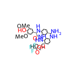 COc1cc(C(Nc2ccc(C(=N)N)cc2)C(=O)NNc2ccccc2C(=O)O)cc(OC)c1O.O=C(O)C(F)(F)F